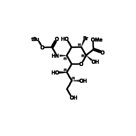 COC(=O)[C@@]1(O)OC([C@H](O)[C@H](O)CO)[C@H](NC(=O)OC(C)(C)C)C(O)[C@@H]1Br